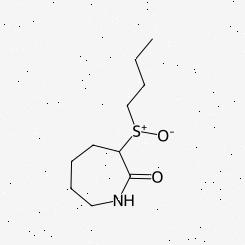 CCCC[S+]([O-])C1CCCCNC1=O